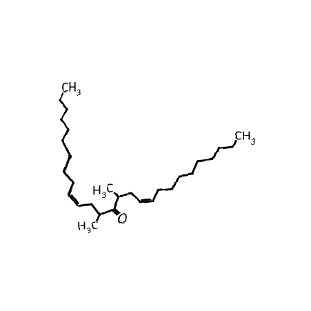 CCCCCCCCC/C=C\CC(C)C(=O)C(C)C/C=C\CCCCCCCCC